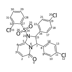 O=c1cccc2n1C(c1ccc(Cl)cc1)C(c1ccc(Cl)cc1)N2S(=O)(=O)c1ccccc1Cl